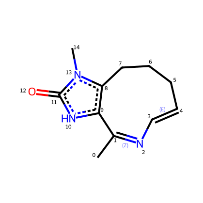 C/C1=N/C=C/CCCc2c1[nH]c(=O)n2C